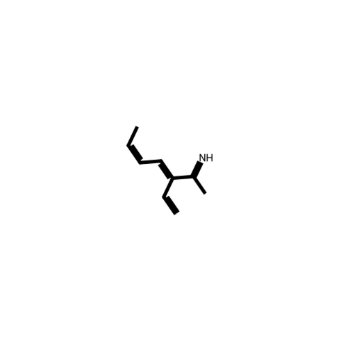 C=C/C(=C\C=C/C)C(C)=N